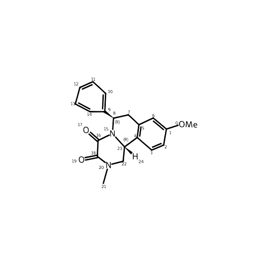 COc1ccc2c(c1)C[C@H](c1ccccc1)N1C(=O)C(=O)N(C)C[C@@H]21